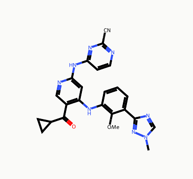 COc1c(Nc2cc(Nc3ccnc(C#N)n3)ncc2C(=O)C2CC2)cccc1-c1ncn(C)n1